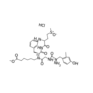 COC(=O)CCCCCN(C(=O)CNC(=O)[C@H](N)Cc1ccc(O)cc1C)[C@@H](Cc1ccccc1)C(=O)NC(=O)C(N)CC[S+](C)[O-].Cl